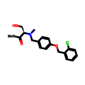 CNC(=O)[C@H](CO)N(C)Cc1ccc(OCc2ccccc2Cl)cc1